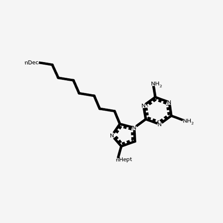 CCCCCCCCCCCCCCCCCc1nc(CCCCCCC)cn1-c1nc(N)nc(N)n1